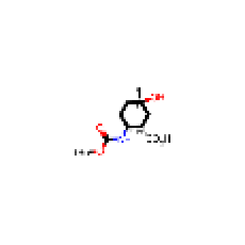 CC(C)(C)OC(=O)N[C@H]1CC[C@](C)(O)C[C@@H]1C(=O)O